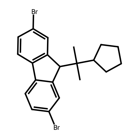 CC(C)(C1CCCC1)C1c2cc(Br)ccc2-c2ccc(Br)cc21